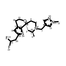 C[C@H]1C[C@@]2(CCN1Cc1cnn(C)c1)OCCc1cc(CC(F)F)sc12